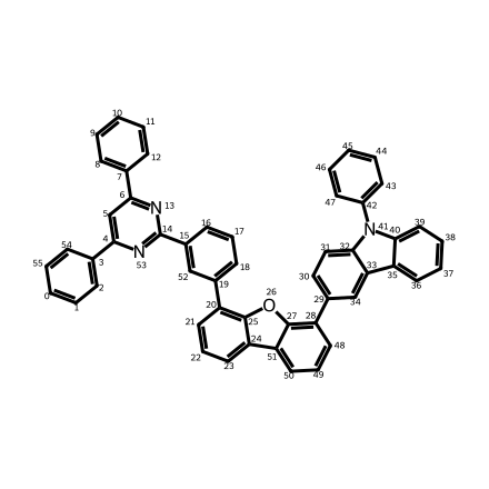 c1ccc(-c2cc(-c3ccccc3)nc(-c3cccc(-c4cccc5c4oc4c(-c6ccc7c(c6)c6ccccc6n7-c6ccccc6)cccc45)c3)n2)cc1